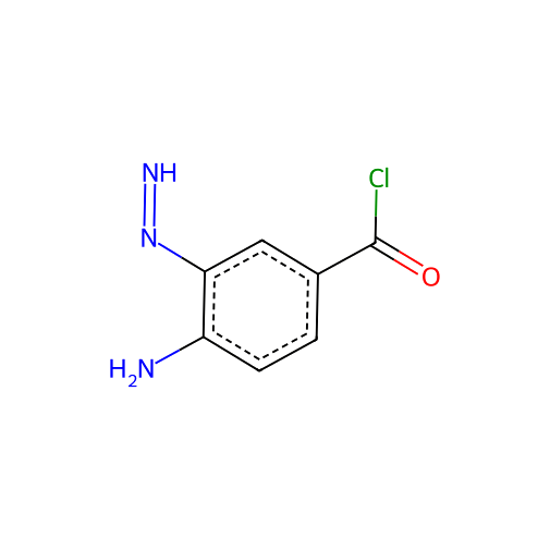 N=Nc1cc(C(=O)Cl)ccc1N